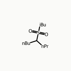 CCCCC(CCC)S(=O)(=O)C(C)CC